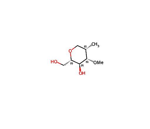 CO[C@@H]1[C@@H](O)[C@H](CO)OC[C@@H]1C